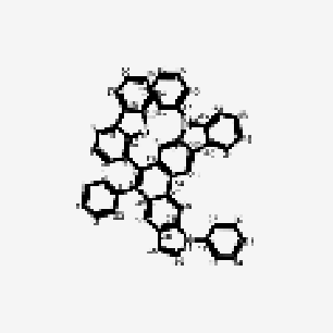 c1ccc(-c2c(-c3cccc4c3sc3ccccc34)c3cc4c(cc3c3cc5c(ccn5-c5ccccc5)cc23)c2ccccc2n4-c2ccccc2)cc1